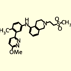 COc1ccc(-c2cc(Nc3cccc4c3CCN(CCS(C)(=O)=O)C4)ccc2C)nn1